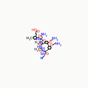 Cc1ccc(C(=O)N[C@@H](CCN)C(=O)N(C)[C@@H]2C(=O)N[C@@H](C)C(=O)N[C@H](C(=O)NCC#N)Cc3ccc(OCCN)c(c3)-c3cc2ccc3OCCN)c(/C=C/C(=O)O)c1